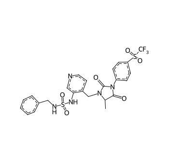 CC1C(=O)N(c2ccc(S(=O)(=O)C(F)(F)F)cc2)C(=O)N1Cc1ccncc1NS(=O)(=O)NCc1ccccc1